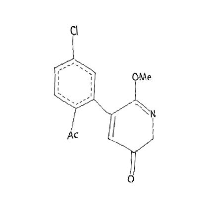 COC1=NCC(=O)C=C1c1cc(Cl)ccc1C(C)=O